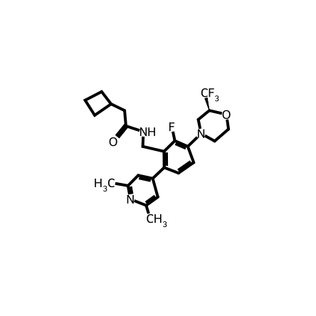 Cc1cc(-c2ccc(N3CCO[C@H](C(F)(F)F)C3)c(F)c2CNC(=O)CC2CCC2)cc(C)n1